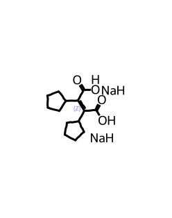 O=C(O)/C(=C(\C(=O)O)C1CCCC1)C1CCCC1.[NaH].[NaH]